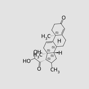 CC1C[C@H]2[C@@H]3CCC4=CC(=O)CC[C@]4(C)C3=CC[C@]2(C)[C@H]1C(=O)C(O)O